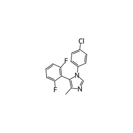 Cc1ncn(-c2ccc(Cl)cc2)c1-c1c(F)cccc1F